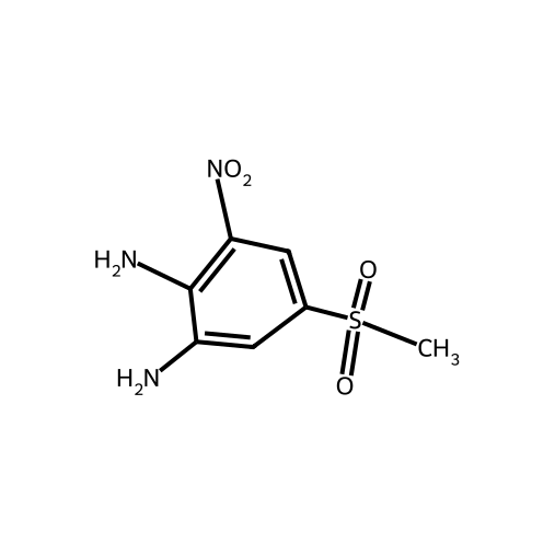 CS(=O)(=O)c1cc(N)c(N)c([N+](=O)[O-])c1